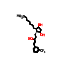 O=C(O)CCCCCC[C@@H]1[C@@H](CCC(O)/C=C/c2cccc(C(F)(F)F)c2)[C@H](O)C[C@@H]1O